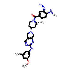 CNc1ccc(C(=O)N2CC[C@@H](N3Cc4cnc(Nc5cc(C)cc(OC)c5)nc4C3)C[C@H]2C)cc1N=N